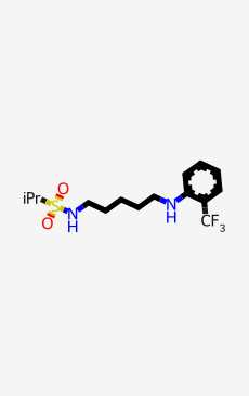 CC(C)S(=O)(=O)NCCCCCNc1ccccc1C(F)(F)F